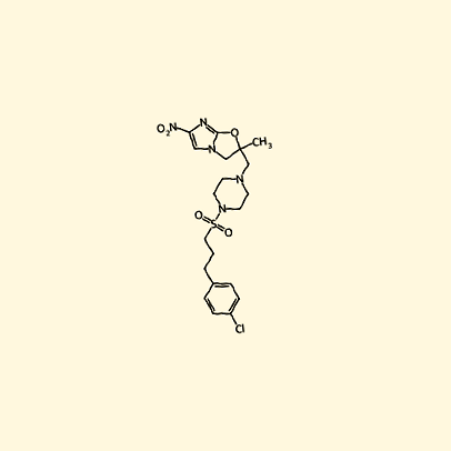 CC1(CN2CCN(S(=O)(=O)CCCc3ccc(Cl)cc3)CC2)Cn2cc([N+](=O)[O-])nc2O1